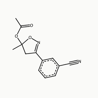 CC(=O)OC1(C)CC(c2cccc(C#N)c2)=NO1